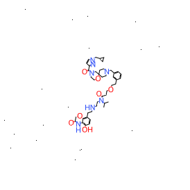 CC(C)N(CCNCCc1ccc(O)c2c1OCC(=O)N2)C(=O)CCOCCc1cccc(CN2CCC3(CC2)CN(C(=O)c2ccn(CC4CC4)n2)CCO3)c1